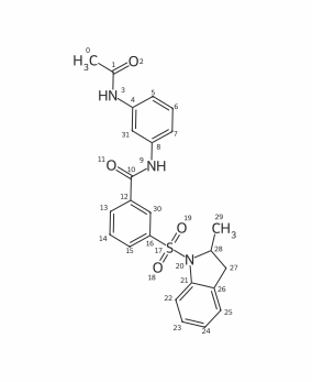 CC(=O)Nc1cccc(NC(=O)c2cccc(S(=O)(=O)N3c4ccccc4CC3C)c2)c1